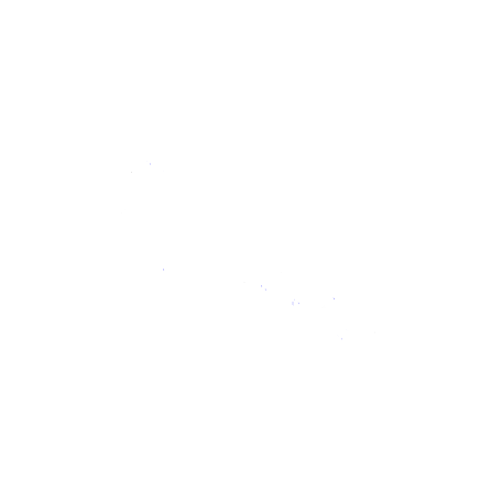 C[C@H](CNc1cnc(C(F)(F)F)cn1)NC(=O)OC1CCN(Cc2ccc(C(N)=O)cc2)CC1